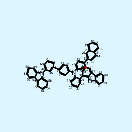 c1cc(-c2ccc(N(c3ccc(-c4ccc5ccccc5c4)cc3)c3ccccc3-c3cccc4c3oc3ccccc34)cc2)cc(-n2c3ccccc3c3ccccc32)c1